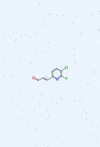 O=C/C=C/c1ccc(Cl)c(F)n1